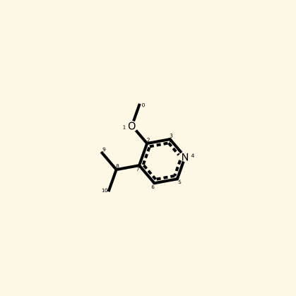 COc1[c]nccc1C(C)C